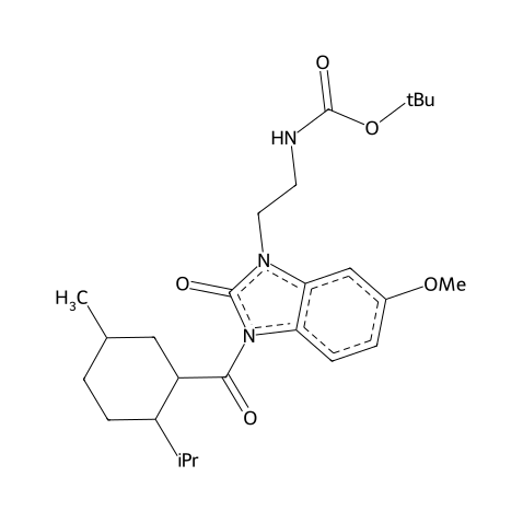 COc1ccc2c(c1)n(CCNC(=O)OC(C)(C)C)c(=O)n2C(=O)C1CC(C)CCC1C(C)C